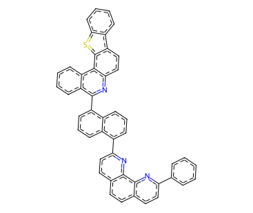 c1ccc(-c2ccc3ccc4ccc(-c5cccc6c(-c7nc8ccc9c%10ccccc%10sc9c8c8ccccc78)cccc56)nc4c3n2)cc1